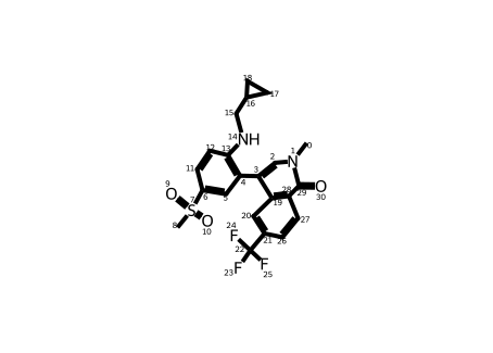 Cn1cc(-c2cc(S(C)(=O)=O)ccc2NCC2CC2)c2cc(C(F)(F)F)ccc2c1=O